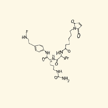 CC(C)C(NC(=O)CCCCCN1C(=O)C=CC1=O)C(=O)N[C@H](CCCNC(N)=O)C(=O)Nc1ccc(CCNF)cc1